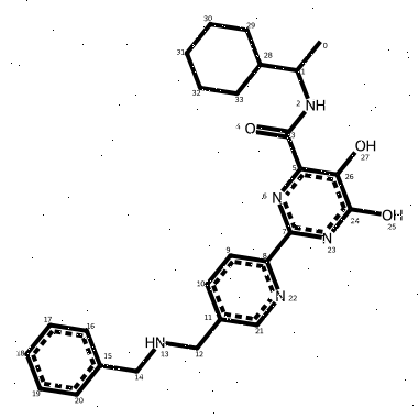 CC(NC(=O)c1nc(-c2ccc(CNCc3ccccc3)cn2)nc(O)c1O)C1CCCCC1